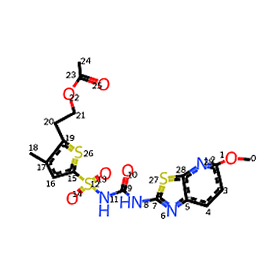 COc1ccc2nc(NC(=O)NS(=O)(=O)c3cc(C)c(CCOC(C)=O)s3)sc2n1